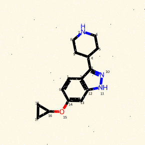 c1cc2c(C3CCNCC3)n[nH]c2cc1OC1CC1